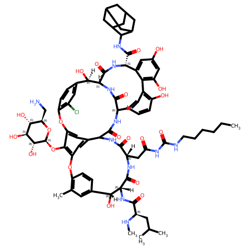 CCCCCCNC(=O)NC(=O)C[C@@H]1NC(=O)[C@H](NC(=O)[C@@H](CC(C)C)NC)[C@H](O)c2ccc(c(C)c2)Oc2cc3cc(c2O[C@@H]2O[C@H](CN)[C@@H](O)[C@H](O)[C@H]2O)Oc2ccc(cc2Cl)[C@@H](O)[C@@H]2NC(=O)[C@H](NC(=O)C3NC1=O)c1ccc(O)c(c1)-c1c(O)cc(O)cc1[C@@H](C(=O)NC1C3CC4CC(C3)CC1C4)NC2=O